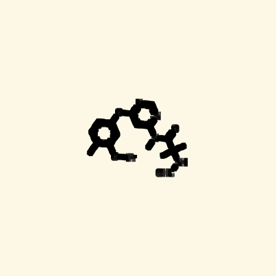 Cc1ccc(Oc2cc(N(C)C(=O)C(C)(C)NC=O)ncn2)cc1OC(C)C